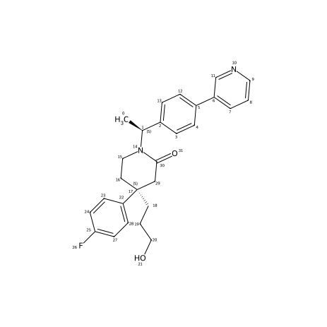 C[C@@H](c1ccc(-c2cccnc2)cc1)N1CC[C@](CCCO)(c2ccc(F)cc2)CC1=O